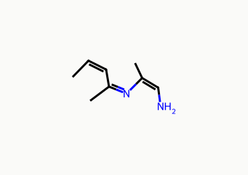 C\C=C/C(C)=N\C(C)=C/N